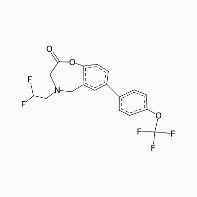 O=C1CN(CC(F)F)Cc2cc(-c3ccc(OC(F)(F)F)cc3)ccc2O1